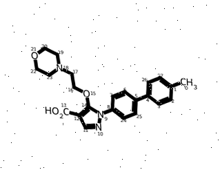 Cc1ccc(-c2ccc(-n3ncc(C(=O)O)c3OCCN3CCOCC3)cc2)cc1